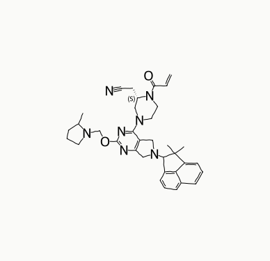 C=CC(=O)N1CCN(c2nc(OCN3CCCC3C)nc3c2CN(C2c4cccc5cccc(c45)C2(C)C)C3)C[C@@H]1CC#N